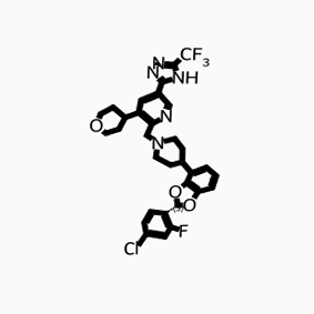 Fc1cc(Cl)ccc1[C@H]1Oc2cccc(C3CCN(Cc4ncc(-c5nnc(C(F)(F)F)[nH]5)cc4C4CCOCC4)CC3)c2O1